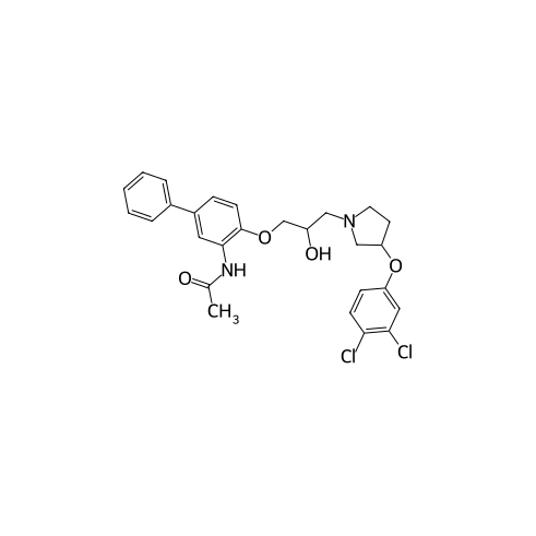 CC(=O)Nc1cc(-c2ccccc2)ccc1OCC(O)CN1CCC(Oc2ccc(Cl)c(Cl)c2)C1